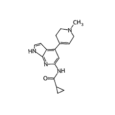 CN1CC=C(c2cc(NC(=O)C3CC3)nc3[nH]ccc23)CC1